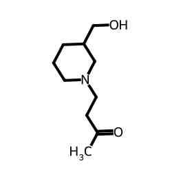 CC(=O)CCN1CCCC(CO)C1